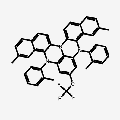 Cc1ccc2ccc3c(c2c1)N(c1ccccc1C)c1cc(OC(F)(F)F)cc2c1B3c1ccc3ccc(C)cc3c1N2c1ccccc1C